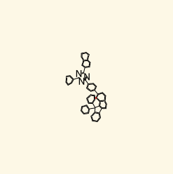 c1ccc(-c2nc(-c3ccc(-c4ccc5ccc6c(c5c4)C(c4ccccc4)(c4ccccc4)c4ccccc4-6)cc3)nc(-c3ccc4ccccc4c3)n2)cc1